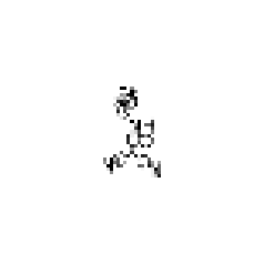 CCC(C)(C)C(=O)OCCNc1ccc(C(=C2C=CC(=[N+](C)C)C=C2)c2ccc(N(C)C)cc2)c2ccccc12